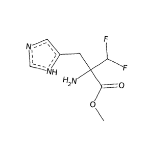 COC(=O)C(N)(Cc1cnc[nH]1)C(F)F